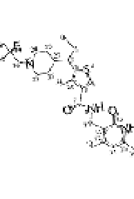 CCC(c1scc(C(=O)NCc2c(C)cc(C)[nH]c2=O)c1C)C1CCN(CC(C)(F)F)CC1